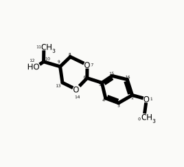 COc1ccc(C2OCC(C(C)O)CO2)cc1